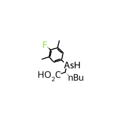 CCCC[C@@H]([AsH]c1cc(C)c(F)c(C)c1)C(=O)O